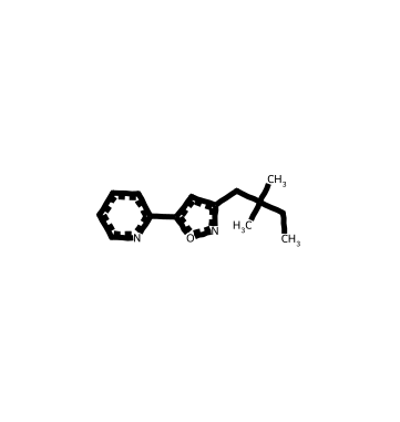 CCC(C)(C)Cc1cc(-c2ccccn2)on1